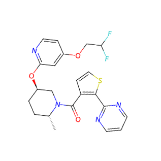 C[C@@H]1CC[C@@H](Oc2cc(OCC(F)F)ccn2)CN1C(=O)c1ccsc1-c1ncccn1